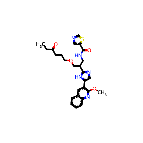 CCC(=O)CCCOCC(CNC(=O)c1cncs1)c1ncc(-c2cc3ccccc3nc2OC)[nH]1